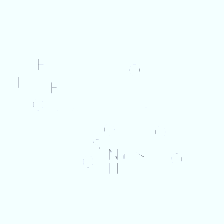 CCOC(=O)C[C@@H](NS(=O)(=O)c1ccc(OC(F)(F)F)cc1)c1ccc(OCC)cc1